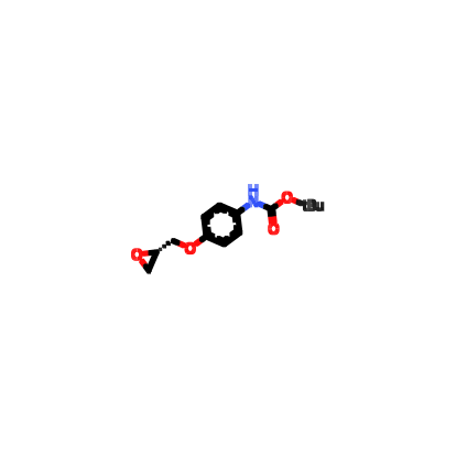 CC(C)(C)OC(=O)Nc1ccc(OC[C@@H]2CO2)cc1